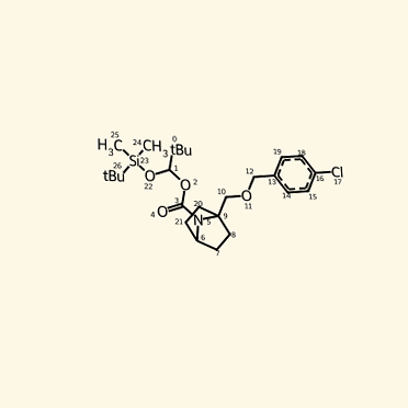 CC(C)(C)C(OC(=O)N1C2CCC1(COCc1ccc(Cl)cc1)CC2)O[Si](C)(C)C(C)(C)C